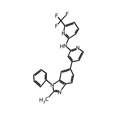 Cc1nc2ccc(-c3ccnc(Nc4cccc(C(F)(F)F)n4)c3)cc2n1-c1ccccc1